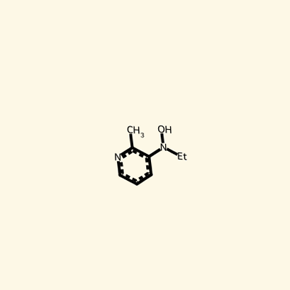 CCN(O)c1cccnc1C